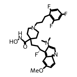 COc1ccc2ncc(N(C)C)c([C@H](F)CCC3(C(=O)NO)CCN(CCCc4c(F)cc(F)cc4F)CC3)c2c1